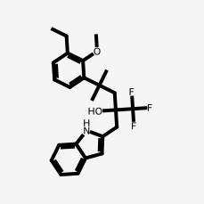 CCc1cccc(C(C)(C)CC(O)(Cc2cc3ccccc3[nH]2)C(F)(F)F)c1OC